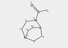 CC(=O)N1CCN2CCC1CC2